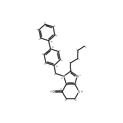 CCCCc1nc2c(n1Cc1ccc(-c3ccccc3)cc1)C(=O)CCS2